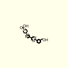 O=C(O)N1CCC(n2cc(-c3cnc(-c4cccc(CO)c4)nc3)cn2)CC1